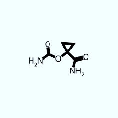 NC(=O)OC1(C(N)=O)CC1